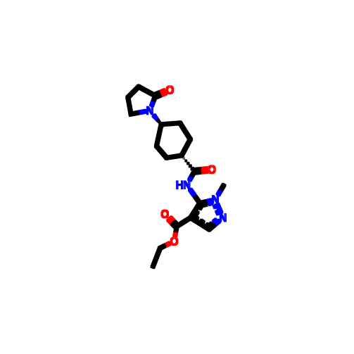 CCOC(=O)c1cnn(C)c1NC(=O)[C@H]1CC[C@H](N2CCCC2=O)CC1